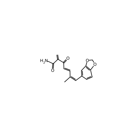 C=C(C(N)=O)C(=O)C=CC(C)=Cc1ccc2c(c1)OCO2